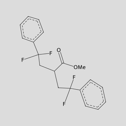 COC(=O)C(CC(F)(F)c1ccccc1)CC(F)(F)c1ccccc1